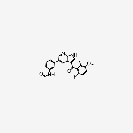 COc1ccc(F)c(C(=O)c2c[nH]c3ncc(-c4cccc(NC(C)=O)c4)cc23)c1C